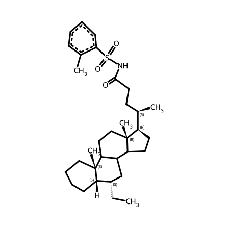 CC[C@H]1CC2C3CC[C@H]([C@H](C)CCC(=O)NS(=O)(=O)c4ccccc4C)[C@@]3(C)CCC2[C@@]2(C)CCCC[C@@H]12